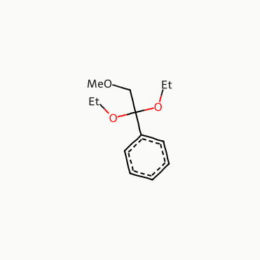 CCOC(COC)(OCC)c1ccccc1